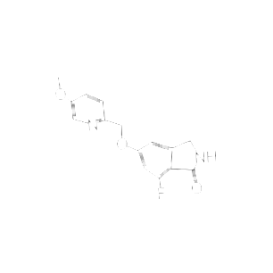 COc1ccc(COc2cc(F)c3c(c2)CNC3=O)nc1